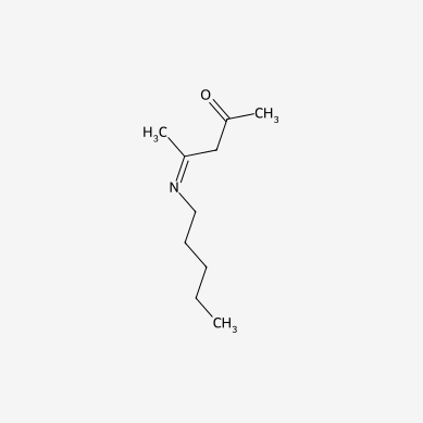 CCCCCN=C(C)CC(C)=O